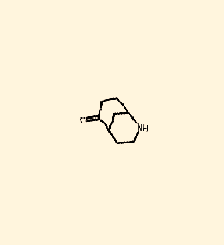 O=C1CCC2CC1CCN2